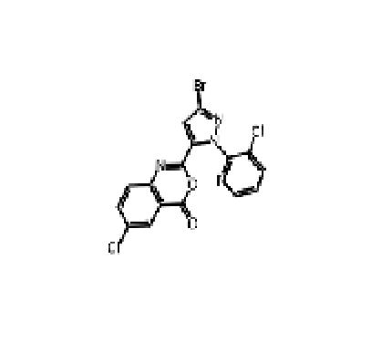 O=c1oc(-c2cc(Br)nn2-c2ncccc2Cl)nc2ccc(Cl)cc12